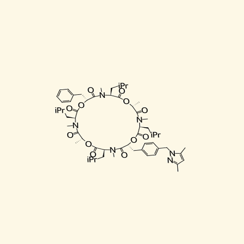 Cc1cc(C)n(Cc2ccc(C[C@H]3OC(=O)[C@H](CC(C)C)N(C)C(=O)[C@@H](C)OC(=O)[C@H](CC(C)C)N(C)C(=O)[C@@H](Cc4ccccc4)OC(=O)[C@H](CC(C)C)N(C)C(=O)[C@@H](C)OC(=O)[C@H](CC(C)C)N(C)C3=O)cc2)n1